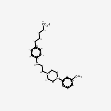 COc1cccc(N2CCN(CCOc3ccc(CCCCC(=O)O)cc3)CC2)c1